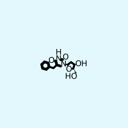 O=c1[nH]c(=O)n([C@H]2C[C@@H](O)[C@H](CO)O2)cc1Cc1ccccc1